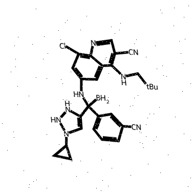 BC(Nc1cc(Cl)c2ncc(C#N)c(NCC(C)(C)C)c2c1)(C1=CN(C2CC2)NN1)c1cccc(C#N)c1